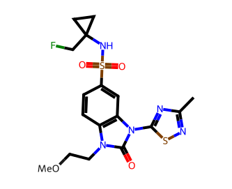 COCCn1c(=O)n(-c2nc(C)ns2)c2cc(S(=O)(=O)NC3(CF)CC3)ccc21